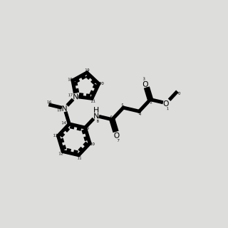 COC(=O)CCC(=O)Nc1ccccc1N(C)n1cccc1